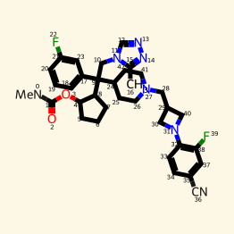 CNC(=O)OC1CCCC1C(Cn1cnnc1C)(c1cccc(F)c1)C1CCN(CC2CN(c3ccc(C#N)cc3F)C2)CC1